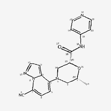 C[C@@H]1CN(c2ccc(C#N)n3nccc23)C[C@H](C(=O)Nc2ccncc2)O1